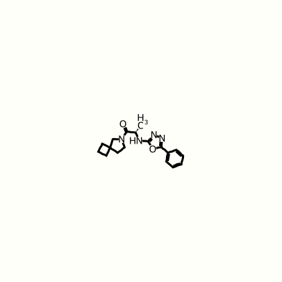 C[C@H](Nc1nnc(-c2ccccc2)o1)C(=O)N1CCC2(CCC2)C1